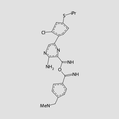 CNCc1ccc(C(=N)OC(=N)c2nc(-c3ccc(SC(C)C)cc3Cl)cnc2N)cc1